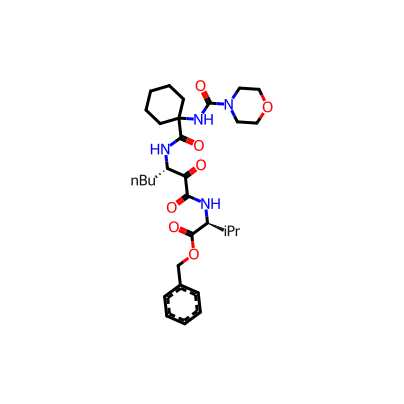 CCCC[C@H](NC(=O)C1(NC(=O)N2CCOCC2)CCCCC1)C(=O)C(=O)N[C@H](C(=O)OCc1ccccc1)C(C)C